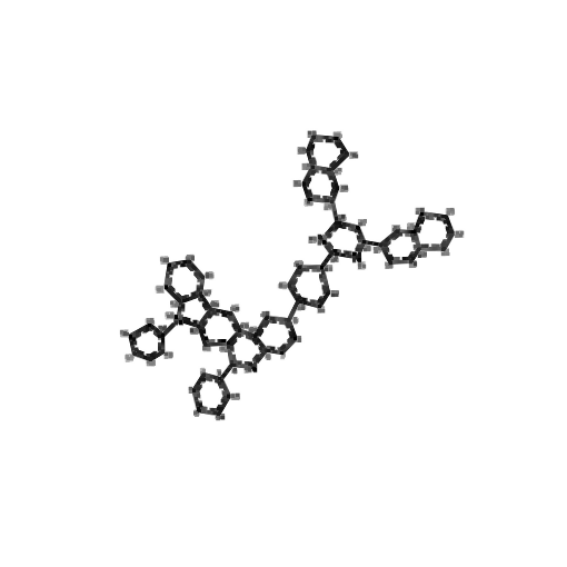 c1ccc(-c2nc3ccc(-c4ccc(-c5nc(-c6ccc7ccccc7c6)cc(-c6ccc7ccccc7c6)n5)cc4)cc3c3cc4c5ccccc5n(-c5ccccc5)c4cc23)cc1